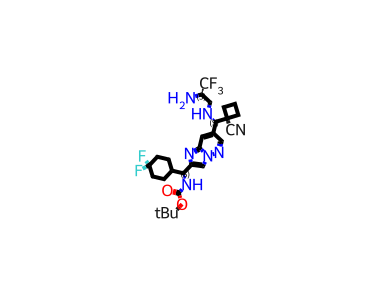 CC(C)(C)OC(=O)N[C@H](c1cn2ncc([C@H](NC[C@H](N)C(F)(F)F)C3(C#N)CCC3)cc2n1)C1CCC(F)(F)CC1